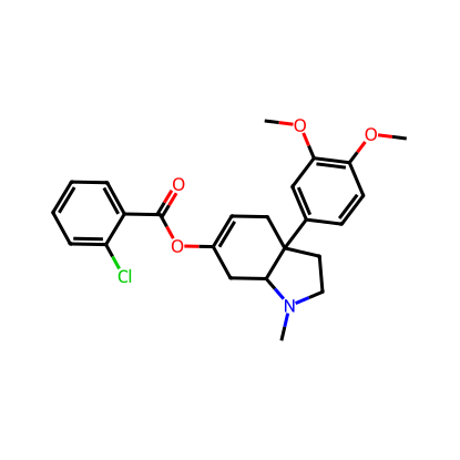 COc1ccc(C23CC=C(OC(=O)c4ccccc4Cl)CC2N(C)CC3)cc1OC